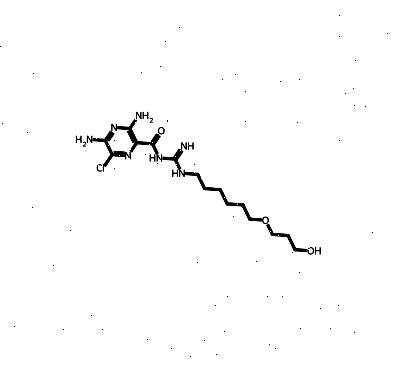 N=C(NCCCCCCOCCCO)NC(=O)c1nc(Cl)c(N)nc1N